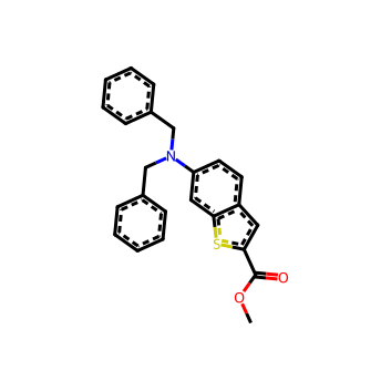 COC(=O)c1cc2ccc(N(Cc3ccccc3)Cc3ccccc3)cc2s1